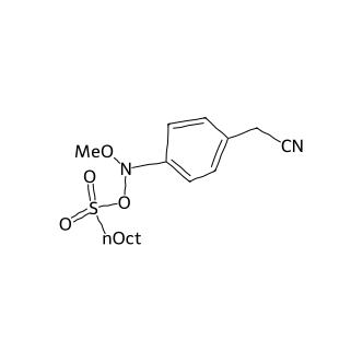 CCCCCCCCS(=O)(=O)ON(OC)c1ccc(CC#N)cc1